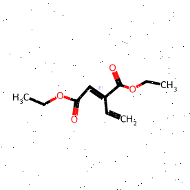 C=C/C(=C\C(=O)OCC)C(=O)OCC